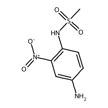 CS(=O)(=O)Nc1ccc(N)cc1[N+](=O)[O-]